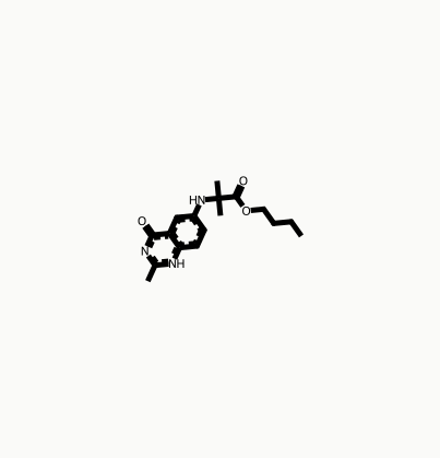 CCCCOC(=O)C(C)(C)Nc1ccc2[nH]c(C)nc(=O)c2c1